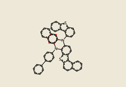 c1ccc(-c2ccc(N(c3ccc4ccccc4c3)c3c(N(c4ccccc4)c4cccc5sc6ccccc6c45)ccc4c3sc3ccc5ccccc5c34)cc2)cc1